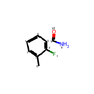 Cc1ccccc1F.NC=O